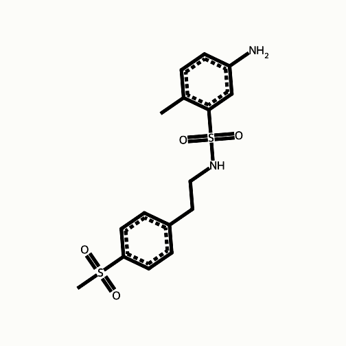 Cc1ccc(N)cc1S(=O)(=O)NCCc1ccc(S(C)(=O)=O)cc1